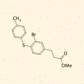 COC(=O)CCc1ccc(Sc2ccc(C)cc2)c(Br)c1